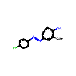 COc1cc(N=Nc2ccc(Cl)cc2)ccc1N